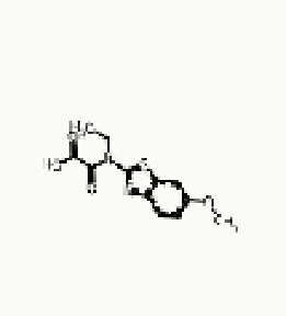 CCN(C(=O)C(=O)O)c1nc2ccc(OC)cc2s1